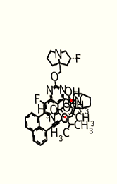 CC(C)[Si](C#Cc1cccc2cccc(-c3nc4c5c(nc(OC[C@@]67CCCN6C[C@H](F)C7)nc5c3F)N3CC5CCC(C3CO4)N5C(=O)O)c12)(C(C)C)C(C)C